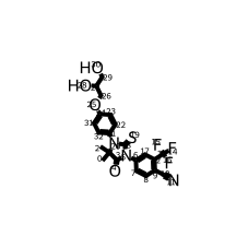 CC1(C)C(=O)N(c2ccc(C#N)c(C(F)(F)F)c2)C(=S)N1c1ccc(OCC(O)CO)cc1